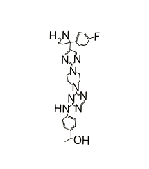 CC(O)c1ccc(Nc2ncnc(N3CCN(c4ncc(C(C)(N)c5ccc(F)cc5)cn4)CC3)n2)cc1